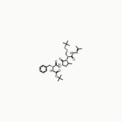 CC(C)=NNC(=O)[C@H](CSSC(C)(C)C)N1C(=O)[C@@H](NC(=O)[C@H](Cc2ccccc2)NC(=O)OC(C)(C)C)CC1C